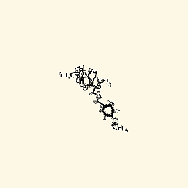 COc1ccc(CSCC(SC)C(=O)N2CCC[C@H]2C(=O)OC(C)(C)C)cc1